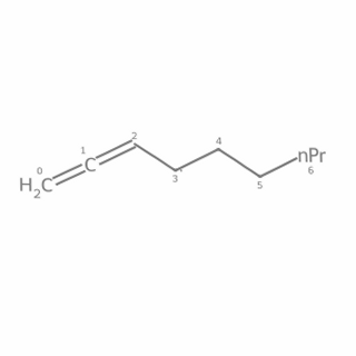 C=C=C[CH]CCCCC